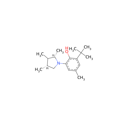 Cc1cc(N2C[C@H](C)C(C)[C@@H]2C)c(O)c(C(C)(C)C)c1